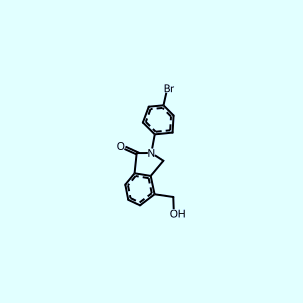 O=C1c2cccc(CO)c2CN1c1ccc(Br)cc1